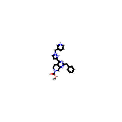 CC(C)(C)OC(=O)N1CCc2c(nc(Cc3ccccc3)nc2-c2ccn(Cc3cccnc3)n2)C1